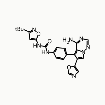 CC(C)(C)c1cc(NC(=O)Nc2ccc(-c3c(-c4cnco4)cn4ncnc(N)c34)cc2)on1